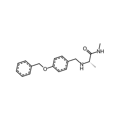 CNC(=O)[C@H](C)NCc1ccc(OCc2ccccc2)cc1